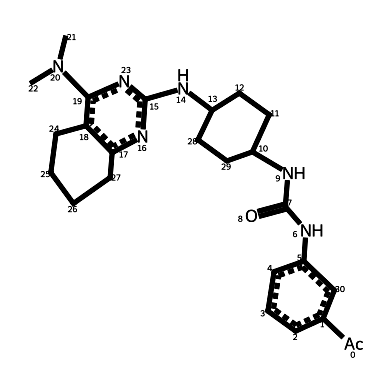 CC(=O)c1cccc(NC(=O)NC2CCC(Nc3nc4c(c(N(C)C)n3)CCCC4)CC2)c1